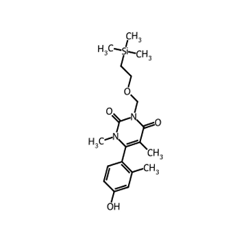 Cc1cc(O)ccc1-c1c(C)c(=O)n(COCC[Si](C)(C)C)c(=O)n1C